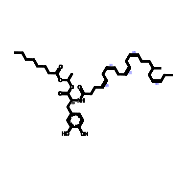 CC/C=C\CC(C)CC/C=C\C/C=C\C/C=C\C/C=C\CCC(=O)N[C@@H](Cc1ccc(O)c(O)c1)C(=O)OC(C)OC(=O)CCCCCCC